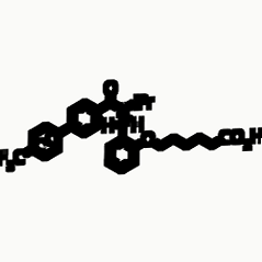 [2H]C([2H])(c1ccccc1OCCCCCC(=O)O)N(C(=O)c1ccc(C23CCC(C(F)(F)F)(CC2)CC3)cc1)C(C)C